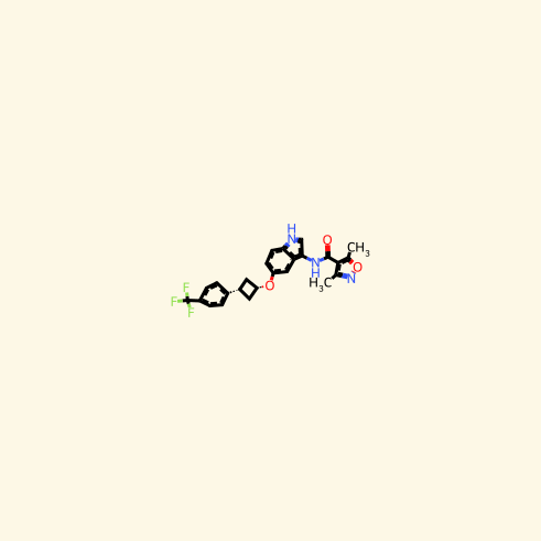 Cc1noc(C)c1C(=O)Nc1c[nH]c2ccc(O[C@H]3C[C@@H](c4ccc(C(F)(F)F)cc4)C3)cc12